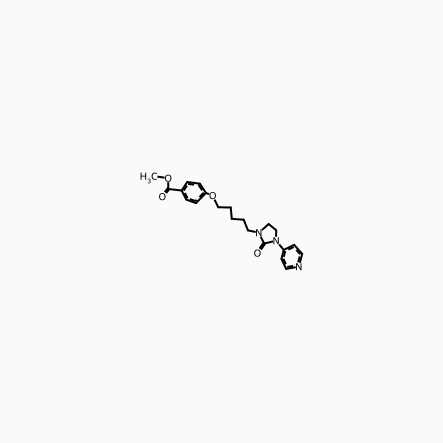 COC(=O)c1ccc(OCCCCCN2CCN(c3ccncc3)C2=O)cc1